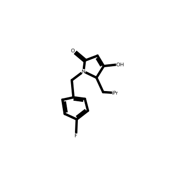 CC(C)CC1C(O)=CC(=O)N1Cc1ccc(F)cc1